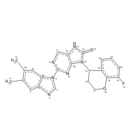 Cc1cc2ncn(-c3ncc4[nH]c(=O)n(C5CCOc6c(F)cccc65)c4n3)c2cc1C